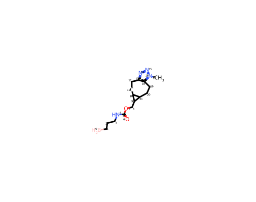 BCCCNC(=O)OCC1C2CCc3nnn(C)c3CCC21